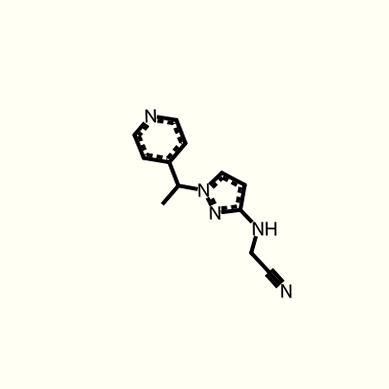 CC(c1ccncc1)n1ccc(NCC#N)n1